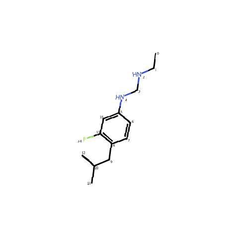 CCNCNc1ccc(CC(C)C)c(F)c1